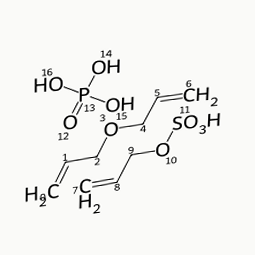 C=CCOCC=C.C=CCOS(=O)(=O)O.O=P(O)(O)O